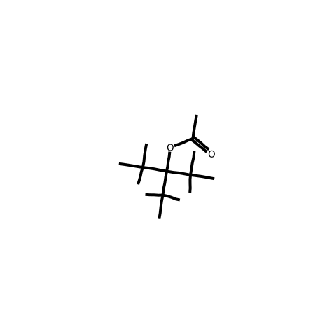 CC(=O)OC(C(C)(C)C)(C(C)(C)C)C(C)(C)C